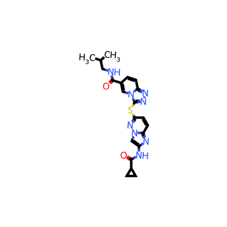 CC(C)CNC(=O)c1ccc2nnc(Sc3ccc4nc(NC(=O)C5CC5)cn4n3)n2c1